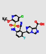 COc1ncc(Cl)cc1S(=O)(=O)Nc1ccc(F)c(-c2cn3cnc(C(=O)O)c3cn2)c1C#N